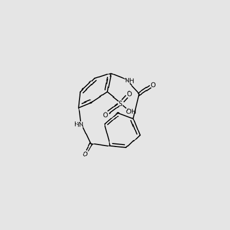 O=C1Nc2ccc(c(S(=O)(=O)O)c2)NC(=O)c2ccc1cc2